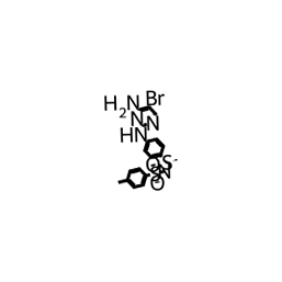 Cc1ccc(S(=O)(=O)N=[S@@](C)c2ccc(Nc3ncc(Br)c(N)n3)cc2)cc1